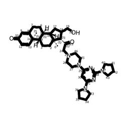 C[C@]12CC[C@H]3[C@@H](CCC4=CC(=O)C=C[C@@]43C)[C@@H]1CC(CO)[C@@H]2C(=O)CN1CCN(c2cc(N3CCCC3)nc(N3CCCC3)n2)CC1